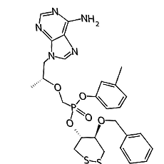 Cc1cccc(OP(=O)(CO[C@H](C)Cn2cnc3c(N)ncnc32)O[C@H]2CSSC[C@@H]2OCc2ccccc2)c1